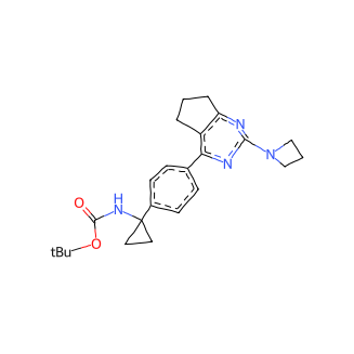 CC(C)(C)OC(=O)NC1(c2ccc(-c3nc(N4CCC4)nc4c3CCC4)cc2)CC1